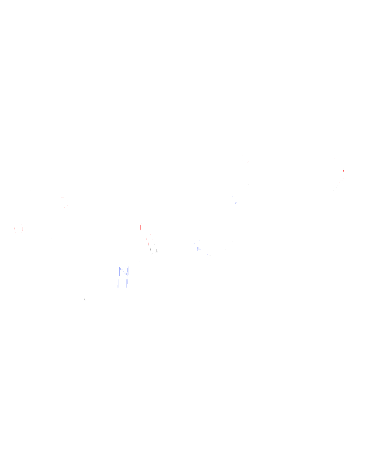 CC(=O)c1cc2c(cc1NC(=O)CN1CCN(C(=O)CC3CCOC3)CC1)OCCO2